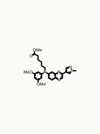 COC(=O)CCCCCN(c1cc(OC)cc(OC)c1)c1ccc2ncc(-c3cnn(C)c3)nc2c1